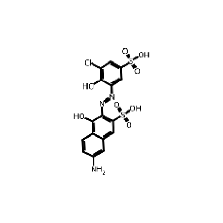 Nc1ccc2c(O)c(N=Nc3cc(S(=O)(=O)O)cc(Cl)c3O)c(S(=O)(=O)O)cc2c1